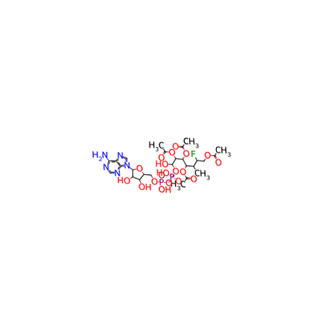 CC(=O)OC[C@H](F)C(C)C(OC(C)=O)C(OC(C)=O)C(OC(C)=O)C(O)OP(=O)(O)OP(=O)(O)OCC1OC(n2cnc3c(N)ncnc32)C(O)C1O